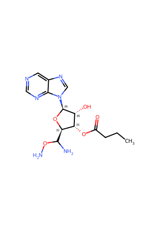 CCCC(=O)O[C@H]1[C@@H](O)[C@H](n2cnc3cncnc32)O[C@@H]1C(N)ON